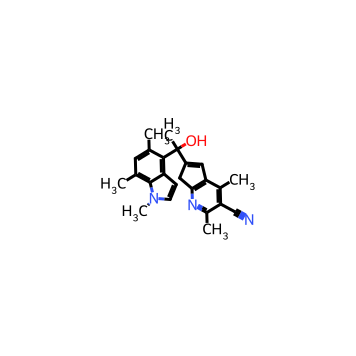 Cc1cc(C)c2c(ccn2C)c1C(C)(O)C1=Cc2c(nc(C)c(C#N)c2C)C1